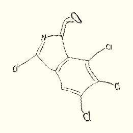 O=C1N=C(Cl)c2cc(Cl)c(Cl)c(Cl)c21